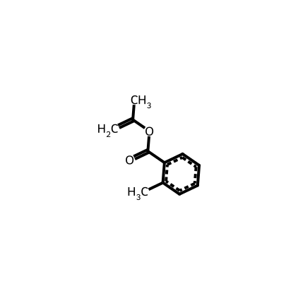 C=C(C)OC(=O)c1ccccc1C